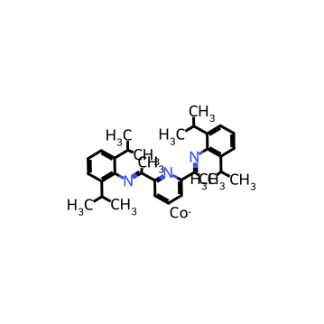 CC(=Nc1c(C(C)C)cccc1C(C)C)c1cccc(C(C)=Nc2c(C(C)C)cccc2C(C)C)n1.[Co]